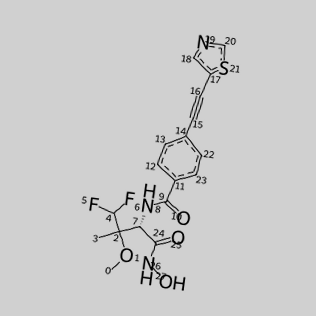 COC(C)(C(F)F)[C@H](NC(=O)c1ccc(C#Cc2cncs2)cc1)C(=O)NO